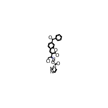 O=C(c1ccccc1)c1ccc2cc(/C(CCl)=N/OC(=O)n3ccnn3)c(=O)oc2c1